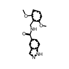 COc1cccc(OC)c1CNC(=O)c1ccc2[nH]ncc2c1